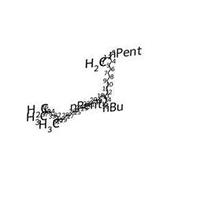 C=CC(CCCCC)CCCCCCCCCC(=CC(CCCC)CCCCC)CCCCCCCCCCCCC(C)CCCC(=C)C